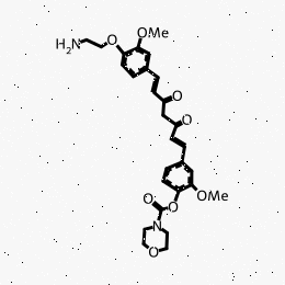 COc1cc(C=CC(=O)CC(=O)C=Cc2ccc(OC(=O)N3CCOCC3)c(OC)c2)ccc1OCCN